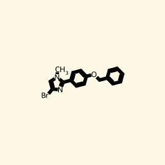 Cn1cc(Br)nc1-c1ccc(OCc2ccccc2)cc1